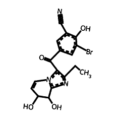 CCc1nc2n(c1C(=O)c1cc(Br)c(O)c(C#N)c1)C=CC(O)C2O